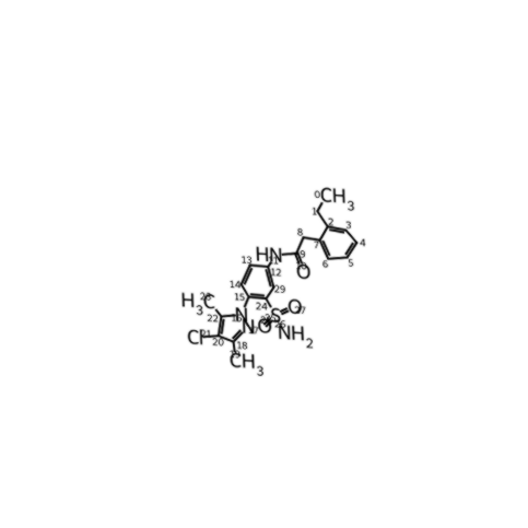 CCc1ccccc1CC(=O)Nc1ccc(-n2nc(C)c(Cl)c2C)c(S(N)(=O)=O)c1